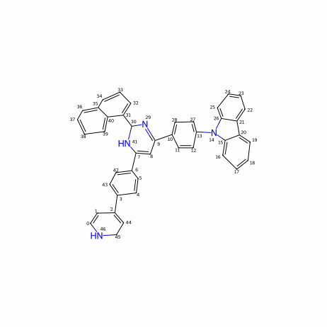 C1=CC(c2ccc(C3=CC(c4ccc(-n5c6ccccc6c6ccccc65)cc4)=NC(c4cccc5ccccc45)N3)cc2)=CCN1